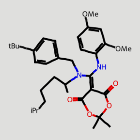 COc1ccc(NC(=C2C(=O)OC(C)(C)OC2=O)N(Cc2ccc(C(C)(C)C)cc2)C(C)CCCC(C)C)c(OC)c1